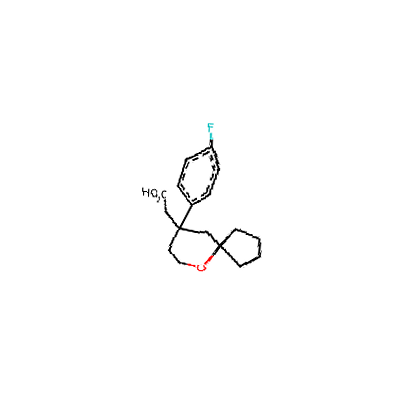 O=C(O)CC1(c2ccc(F)cc2)CCOC2(CCCC2)C1